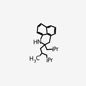 CC(C)CC(C)CC1(CC(C)C)Cc2cccc3cccc(c23)N1